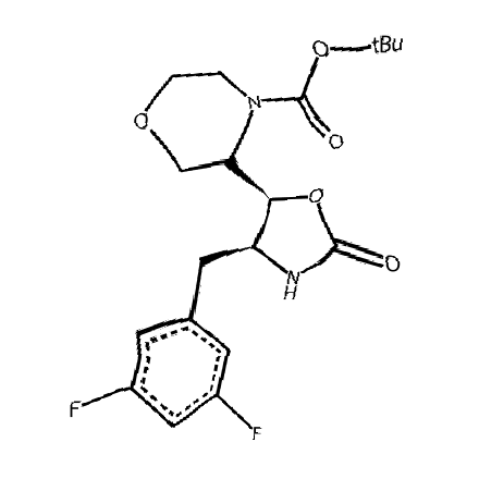 CC(C)(C)OC(=O)N1CCOCC1[C@H]1OC(=O)N[C@H]1Cc1cc(F)cc(F)c1